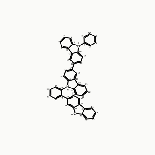 c1ccc(-n2c3ccccc3c3cc(-c4ccc5c(c4)c4ccccc4n5-c4ccccc4-c4ccc5c(c4)oc4ccccc45)ccc32)cc1